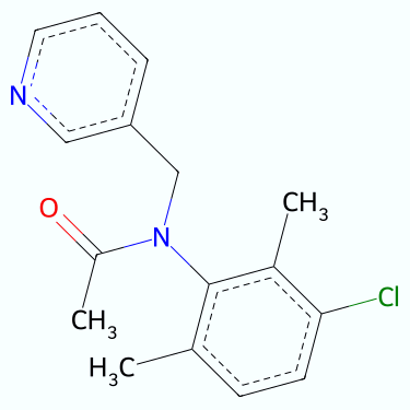 CC(=O)N(Cc1cccnc1)c1c(C)ccc(Cl)c1C